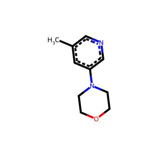 Cc1cncc(N2CCOCC2)c1